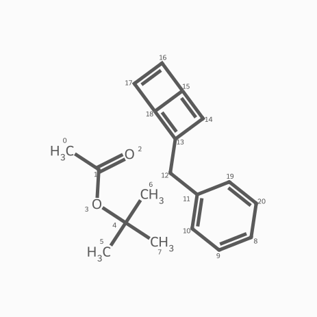 CC(=O)OC(C)(C)C.c1ccc(Cc2cc3ccc2-3)cc1